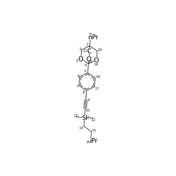 CCCC12COC(c3ccc(C#C[Si](C)(C)CCC(C)C)cc3)(OC1)OC2